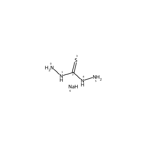 NNC(=S)NN.[NaH]